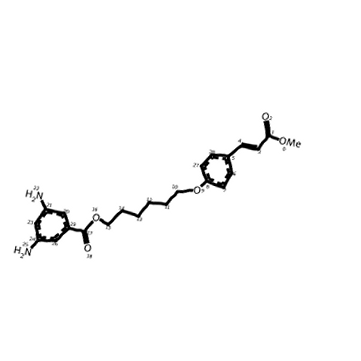 COC(=O)/C=C/c1ccc(OCCCCCCOC(=O)c2cc(N)cc(N)c2)cc1